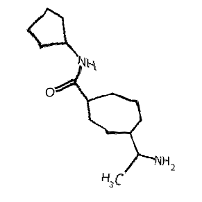 CC(N)C1CCCC(C(=O)NC2CCCC2)CC1